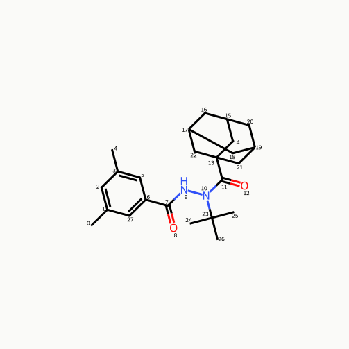 Cc1cc(C)cc(C(=O)NN(C(=O)C23CC4CC(CC(C4)C2)C3)C(C)(C)C)c1